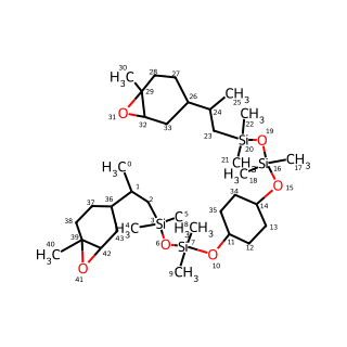 CC(C[Si](C)(C)O[Si](C)(C)OC1CCC(O[Si](C)(C)O[Si](C)(C)CC(C)C2CCC3(C)OC3C2)CC1)C1CCC2(C)OC2C1